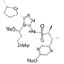 COCCC(OC)n1c(NS(=O)(=O)[C@@H](C)[C@H](C)c2cnc(OC)cn2)nnc1[C@@H]1CC[C@H](C)O1